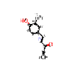 C#CC(=O)/C=C/c1ccc(O)c(CCC)c1